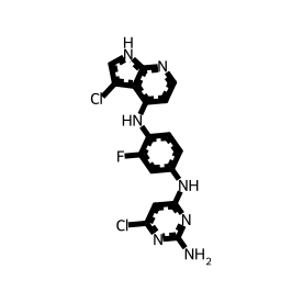 Nc1nc(Cl)cc(Nc2ccc(Nc3ccnc4[nH]cc(Cl)c34)c(F)c2)n1